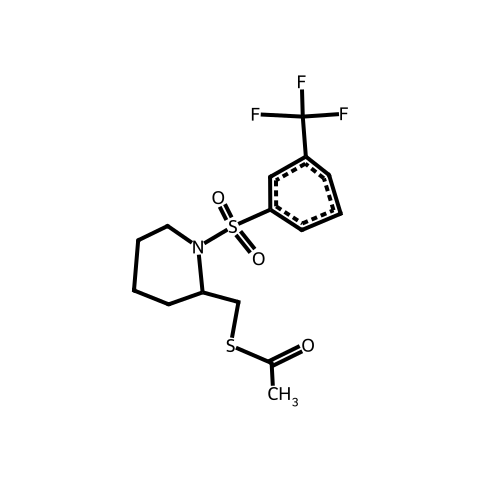 CC(=O)SCC1CCCCN1S(=O)(=O)c1cccc(C(F)(F)F)c1